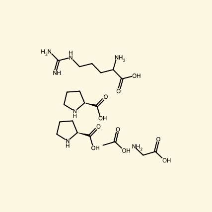 CC(=O)O.N=C(N)NCCCC(N)C(=O)O.NCC(=O)O.O=C(O)[C@@H]1CCCN1.O=C(O)[C@@H]1CCCN1